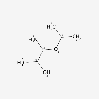 CC(C)OC(N)C(C)O